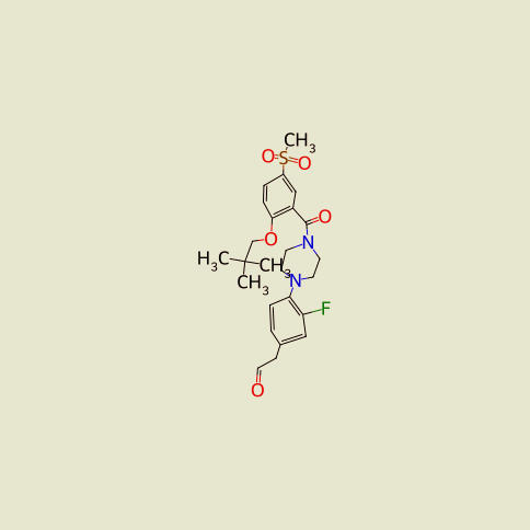 CC(C)(C)COc1ccc(S(C)(=O)=O)cc1C(=O)N1CCN(c2ccc(CC=O)cc2F)CC1